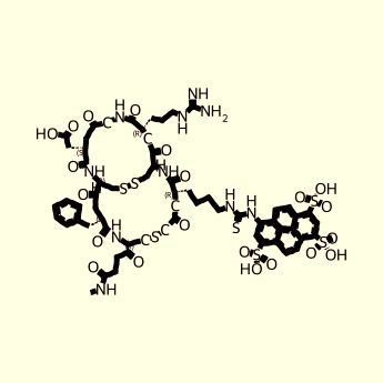 CNC(=O)CCC(=O)[C@@H]1CSCC(=O)C[C@@H](CCCCNC(=S)Nc2cc(S(=O)(=O)O)c3ccc4c(S(=O)(=O)O)cc(S(=O)(=O)O)c5ccc2c3c54)C(=O)N[C@H]2CSSC[C@H](NC(=O)[C@H](CC(=O)O)CC(=O)CNC(=O)[C@H](CCCNC(=N)N)CC2=O)C(=O)C[C@@H](Cc2ccccc2)C(=O)N1